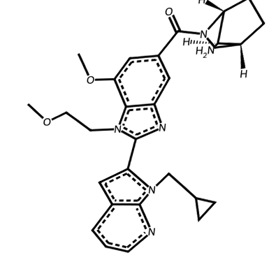 COCCn1c(-c2cc3cccnc3n2CC2CC2)nc2cc(C(=O)N3C[C@H]4CC[C@@H]3[C@@H]4N)cc(OC)c21